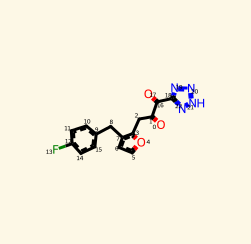 O=C(Cc1occc1Cc1ccc(F)cc1)C(=O)c1nn[nH]n1